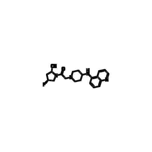 N#CC1C[C@H](F)CN1C(=O)CN1CCC(Nc2cccc3ncccc23)CC1